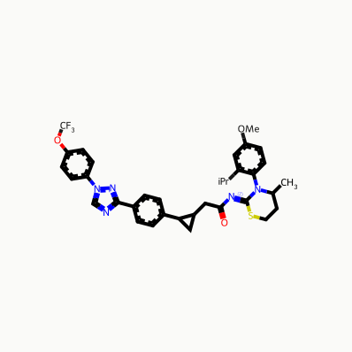 COc1ccc(N2/C(=N/C(=O)CC3CC3c3ccc(-c4ncn(-c5ccc(OC(F)(F)F)cc5)n4)cc3)SCCC2C)c(C(C)C)c1